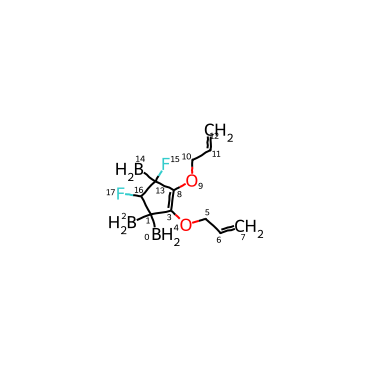 BC1(B)C(OCC=C)=C(OCC=C)C(B)(F)C1F